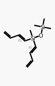 C=C/C=C/[Si](C)(/C=C/C=C)O[Si](C)(C)C